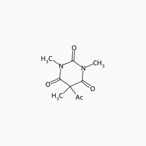 CC(=O)C1(C)C(=O)N(C)C(=O)N(C)C1=O